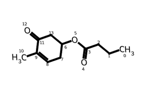 CCCC(=O)OC1CC=C(C)C(=O)C1